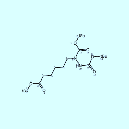 CC(C)(C)OC(=O)CCCCCN(NC(=O)OC(C)(C)C)C(=O)OC(C)(C)C